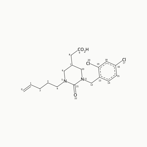 C=CCCCN1CC(CC(=O)O)CN(Cc2ccc(Cl)cc2Cl)C1=O